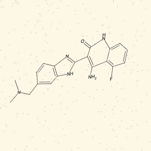 CN(C)Cc1ccc2nc(-c3c(N)c4c(F)cccc4[nH]c3=O)[nH]c2c1